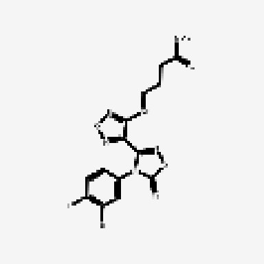 CNC(=O)CCCNc1nonc1-c1noc(=O)n1-c1ccc(F)c(Br)c1